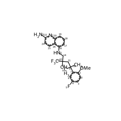 COc1ccc(F)cc1C(C)(C)CC(O)(CNc1cccc2nc(N)ccc12)C(F)(F)F